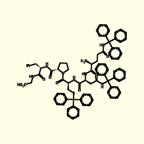 CC(C)C[C@H](NC(=O)[C@@H]1CCCN1C(=O)[C@H](CSC(c1ccccc1)(c1ccccc1)c1ccccc1)NC(=O)[C@H](CC(=O)NC(c1ccccc1)(c1ccccc1)c1ccccc1)NC(=O)[C@@H](N)CCC(=O)NC(c1ccccc1)(c1ccccc1)c1ccccc1)C(=O)NCC(=O)O